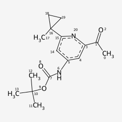 CC(=O)c1cc(NC(=O)OC(C)(C)C)cc(C2(C)CC2)n1